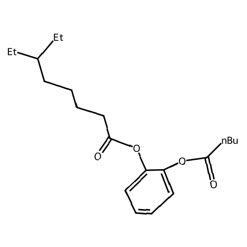 CCCCC(=O)Oc1ccccc1OC(=O)CCCCC(CC)CC